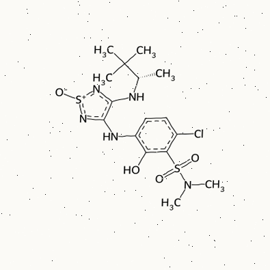 C[C@H](Nc1n[s+]([O-])nc1Nc1ccc(Cl)c(S(=O)(=O)N(C)C)c1O)C(C)(C)C